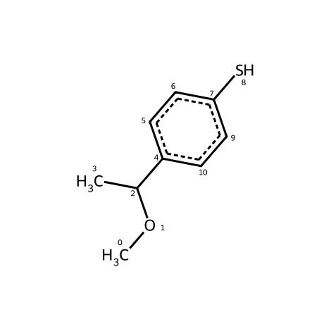 COC(C)c1ccc(S)cc1